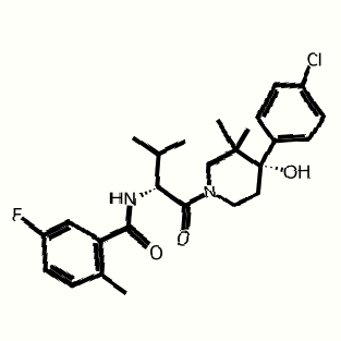 Cc1ccc(F)cc1C(=O)N[C@@H](C(=O)N1CC[C@](O)(c2ccc(Cl)cc2)C(C)(C)C1)C(C)C